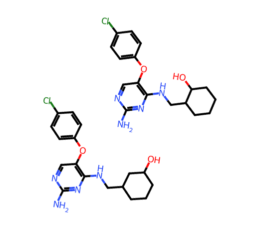 Nc1ncc(Oc2ccc(Cl)cc2)c(NCC2CCCC(O)C2)n1.Nc1ncc(Oc2ccc(Cl)cc2)c(NCC2CCCCC2O)n1